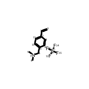 C=Cc1ccc(CN(C)C)cc1.F[B-](F)(F)F